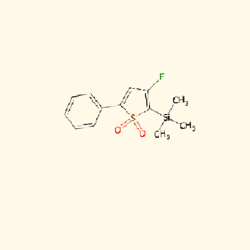 C[Si](C)(C)C1=C(F)C=C(c2ccccc2)S1(=O)=O